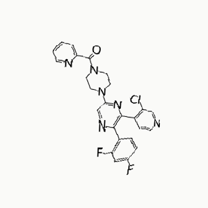 O=C(c1ccccn1)N1CCN(c2cnc(-c3ccc(F)cc3F)c(-c3ccncc3Cl)n2)CC1